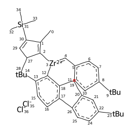 CC1=[C](/[Zr+2](=[CH]/c2ccc(C(C)(C)C)cc2)[c]2c(C(C)(C)C)ccc3c2Cc2cc(C(C)(C)C)ccc2-3)C(C)C=C1[Si](C)(C)C.[Cl-].[Cl-]